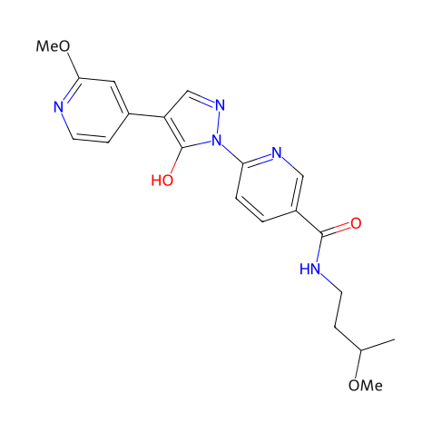 COc1cc(-c2cnn(-c3ccc(C(=O)NCCC(C)OC)cn3)c2O)ccn1